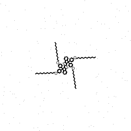 CCCCCCCCCCCCOc1ccc(C2(c3ccc(OCCCCCCCCCCCC)cc3)C3=CCC=CC3=c3sc4c5c(sc4c32)=C2C=CCC=C2C5(c2ccc(OCCCCCCCCCCCC)cc2)c2ccc(OCCCCCCCCCCCC)cc2)cc1